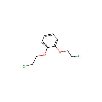 ClCCOc1ccccc1OCCCl